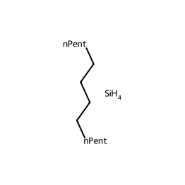 CCCCCCCCCCCCCC.[SiH4]